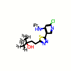 [2H]C([2H])([2H])C(O)(CCc1nnc(-c2cnc(Cl)cc2NC(C)C)s1)C([2H])([2H])[2H]